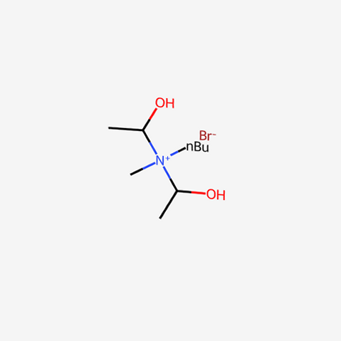 CCCC[N+](C)(C(C)O)C(C)O.[Br-]